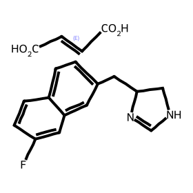 Fc1ccc2ccc(CC3CNC=N3)cc2c1.O=C(O)/C=C/C(=O)O